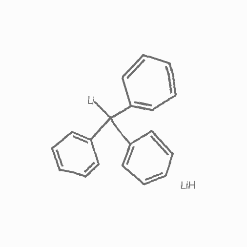 [LiH].[Li][C](c1ccccc1)(c1ccccc1)c1ccccc1